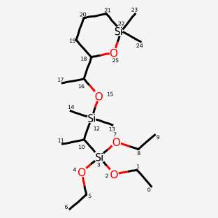 CCO[Si](OCC)(OCC)C(C)[Si](C)(C)OC(C)C1CCC[Si](C)(C)O1